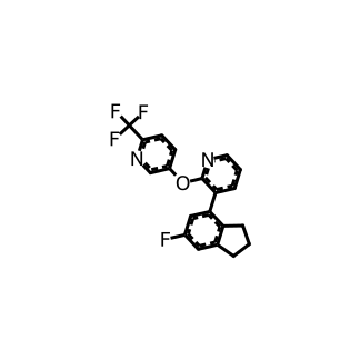 Fc1cc2c(c(-c3cccnc3Oc3ccc(C(F)(F)F)nc3)c1)CCC2